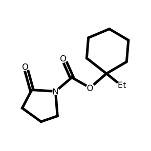 CCC1(OC(=O)N2CCCC2=O)CCCCC1